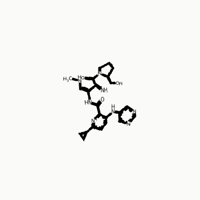 CN/C=C(/NC(=O)c1nc(C2CC2)ccc1Nc1cncnc1)C(=N)C(=O)N1CCCC1CO